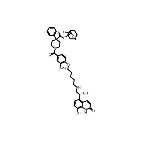 COc1cc(C(=O)N2CCC(C(=O)O[C@H]3CN4CCC3CC4)(c3ccccc3)CC2)ccc1OCCCCCNC[C@H](O)c1ccc(O)c2[nH]c(=O)ccc12